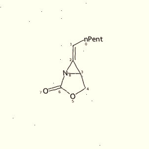 CCCCC/C=C1\C2COC(=O)N12